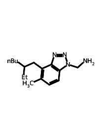 CCCCC(CC)Cc1c(C)ccc2c1nnn2CN